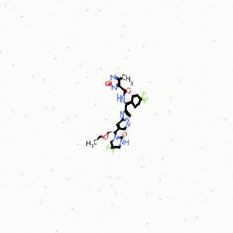 CCOC[C@H](c1cnn2cc([C@@H](NC(=O)c3nonc3C)C3CCC(F)(F)CC3)nc2c1)N1CC(F)(F)CNC1=O